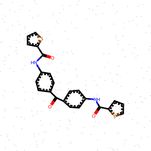 O=C(c1ccc(NC(=O)c2cccs2)cc1)c1ccc(NC(=O)c2cccs2)cc1